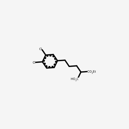 CCOC(=O)C(CCCc1ccc(Cl)c(Cl)c1)C(=O)O